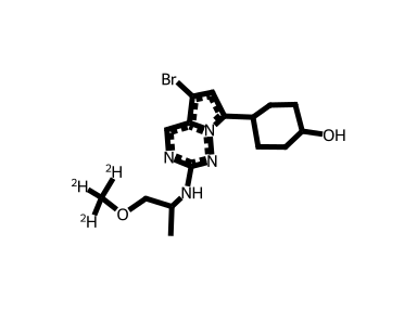 [2H]C([2H])([2H])OCC(C)Nc1ncc2c(Br)cc(C3CCC(O)CC3)n2n1